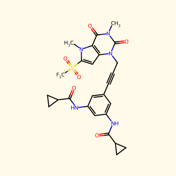 Cn1c(=O)c2c(cc(S(=O)(=O)C(F)(F)F)n2C)n(CC#Cc2cc(NC(=O)C3CC3)cc(NC(=O)C3CC3)c2)c1=O